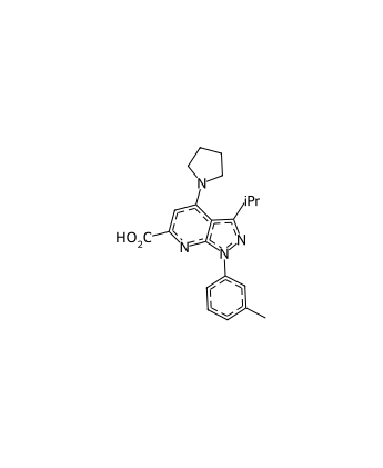 Cc1cccc(-n2nc(C(C)C)c3c(N4CCCC4)cc(C(=O)O)nc32)c1